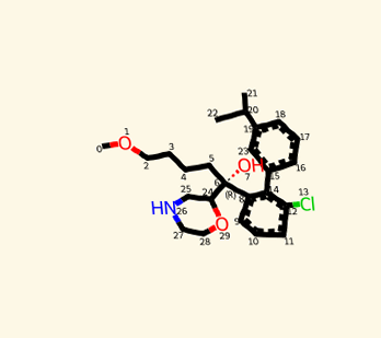 COCCCC[C@@](O)(c1cccc(Cl)c1-c1cccc(C(C)C)c1)C1CNCCO1